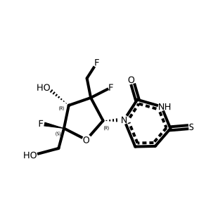 O=c1[nH]c(=S)ccn1[C@@H]1O[C@](F)(CO)[C@H](O)C1(F)CF